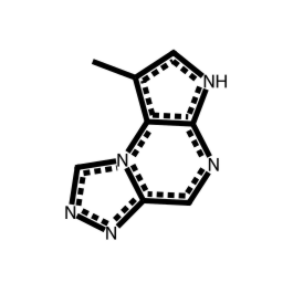 Cc1c[nH]c2ncc3nncn3c12